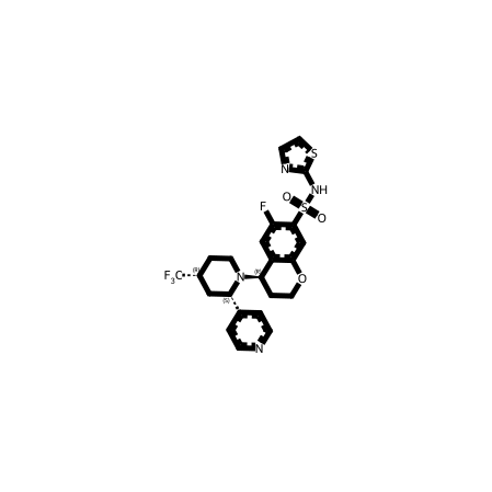 O=S(=O)(Nc1nccs1)c1cc2c(cc1F)[C@H](N1CC[C@@H](C(F)(F)F)C[C@H]1c1ccncc1)CCO2